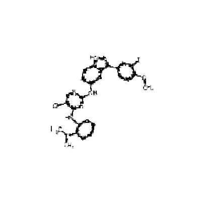 COc1ccc(-c2n[nH]c3ccc(Nc4ncc(Cl)c(Nc5ccccc5P(C)C)n4)cc23)cc1F